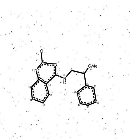 COC(CNc1nc(Cl)nc2ccccc12)c1ccccc1